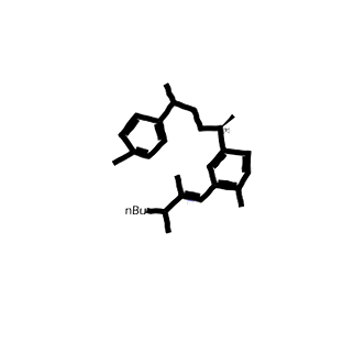 CCCCC(C)/C(C)=C/c1cc([C@H](C)CCC(C)c2ccc(C)cc2)ccc1C